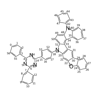 c1ccc(-c2nc(-c3ccccc3)nc(-c3ccc(-n4c5cc6oc7ccccc7c6cc5c5c6c7ccccc7n(-c7ccccc7)c6ccc54)cc3)n2)cc1